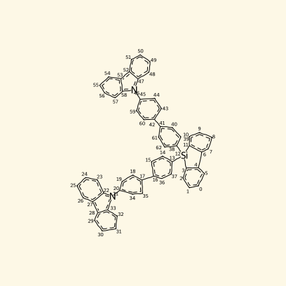 c1ccc2c(c1)-c1ccccc1[Si]2(c1ccc(-c2ccc(-n3c4ccccc4c4ccccc43)cc2)cc1)c1ccc(-c2ccc(-n3c4ccccc4c4ccccc43)cc2)cc1